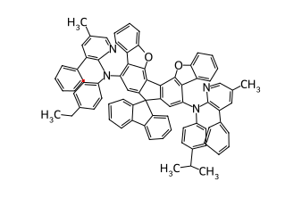 CCc1ccc(N(c2ncc(C)cc2-c2ccccc2)c2cc3c(c4oc5ccccc5c24)-c2c(cc(N(c4ccc(C(C)C)cc4)c4ncc(C)cc4-c4ccccc4)c4c2oc2ccccc24)C32c3ccccc3-c3ccccc32)cc1